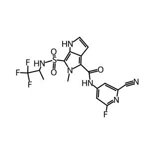 CC(NS(=O)(=O)c1c2[nH]ccc2c(C(=O)Nc2cc(F)nc(C#N)c2)n1C)C(F)(F)F